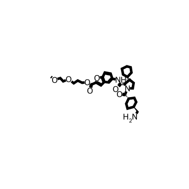 COCCOCCCOC(=O)c1cc2cc(NC(=O)[C@@H]3[C@H](C4CCCCC4)CCN3C(=O)[C@H]3CC[C@H](CN)CC3)ccc2o1